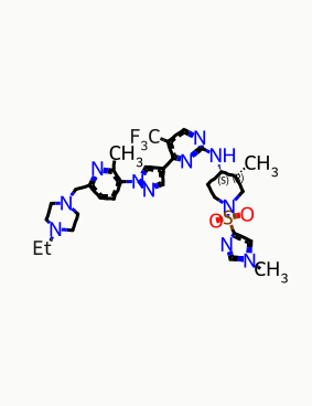 CCN1CCN(Cc2ccc(-n3cc(-c4nc(N[C@H]5CCN(S(=O)(=O)c6cn(C)cn6)C[C@H]5C)ncc4C(F)(F)F)cn3)c(C)n2)CC1